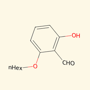 CCCCCCOc1cccc(O)c1C=O